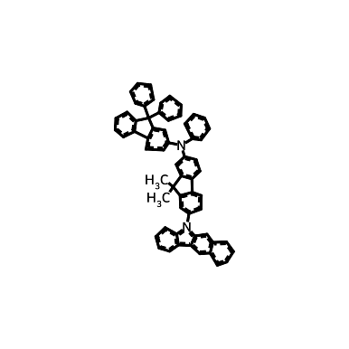 CC1(C)c2cc(N(c3ccccc3)c3ccc4c(c3)C(c3ccccc3)(c3ccccc3)c3ccccc3-4)ccc2-c2ccc(-n3c4ccccc4c4cc5ccccc5cc43)cc21